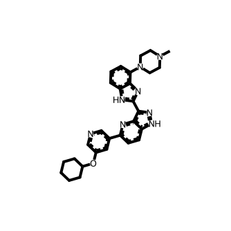 CN1CCN(c2cccc3[nH]c(-c4n[nH]c5ccc(-c6cncc(OC7CCCCC7)c6)nc45)nc23)CC1